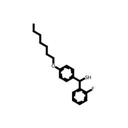 CCCCCCCOc1ccc(C(S)c2ccccc2F)cc1